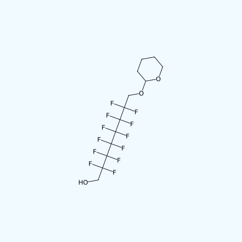 OCC(F)(F)C(F)(F)C(F)(F)C(F)(F)C(F)(F)C(F)(F)COC1CCCCO1